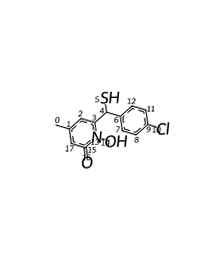 Cc1cc(C(S)c2ccc(Cl)cc2)n(O)c(=O)c1